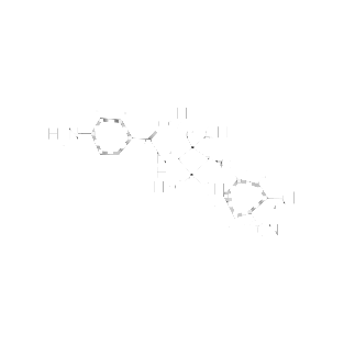 CC1(C)[C@H](NC(=O)c2ccc(N)cc2)C(C)(C)[C@H]1Oc1ccc(C#N)c(Cl)c1